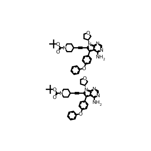 CC(C)(C)OC(=O)N1CCC(C#Cc2c(-c3ccc(Oc4ccccc4)cc3)c3c(N)ncnc3n2[C@@H]2CCOC2)CC1.CC(C)(C)OC(=O)N1CCC(C#Cc2c(-c3ccc(Oc4ccccc4)cc3)c3c(N)ncnc3n2[C@H]2CCOC2)CC1